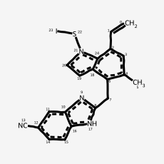 C=Cc1cc(C)c(Cc2nc3cc(C#N)ccc3[nH]2)c2ccn(SI)c12